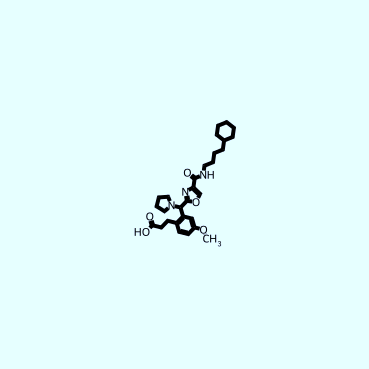 COc1ccc(CCC(=O)O)c(C(c2nc(C(=O)NCCCCC3CCCCC3)co2)N2CCCC2)c1